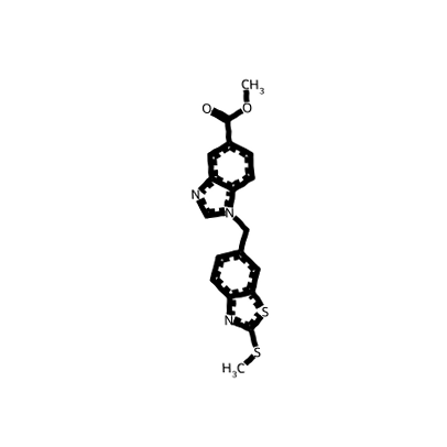 COC(=O)c1ccc2c(c1)ncn2Cc1ccc2nc(SC)sc2c1